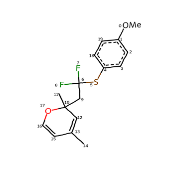 COc1ccc(SC(F)(F)CC2(C)C=C(C)C=CO2)cc1